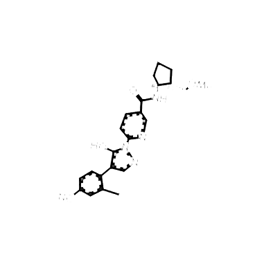 COC[C@H]1CCC[C@H]1NC(=O)c1ccc(-n2ncc(-c3ccc(C#N)cc3C)c2O)nc1